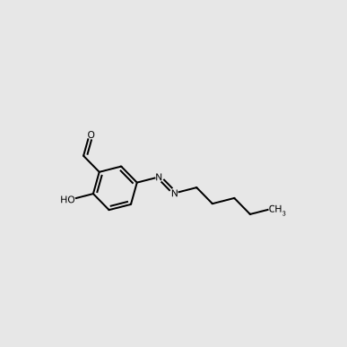 CCCCC/N=N/c1ccc(O)c(C=O)c1